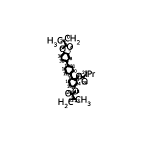 C=C(C)C(=O)Oc1ccc(-c2ccc(-c3ccc(OC(=O)C(=C)C)cc3OC(=O)C(C)C)cc2)cc1